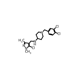 Cc1nn(C)c(Cl)c1CNC1CCN(Cc2ccc(Cl)c(Cl)c2)CC1